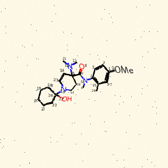 COc1ccc(N(C)C(=O)C2(N(C)C)CCN(C3(O)CCCCC3)CC2)c(C)c1